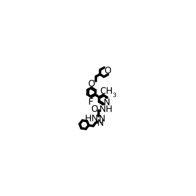 Cc1cnc(NC(=O)c2nnc(CC3CCCCC3)[nH]2)cc1-c1cc(OCCC2CCOCC2)ccc1F